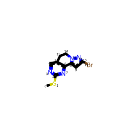 CSc1ncc2c(n1)-c1cc(Br)nn1CC2